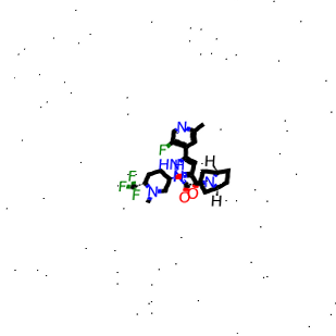 Cc1cc(-c2cc(C(=O)N3[C@@H]4CC[C@H]3C[C@H](C(=O)N[C@H]3CC[C@@H](C(F)(F)F)N(C)C3)C4)n[nH]2)c(F)cn1